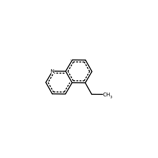 CCc1cc[c]c2ncccc12